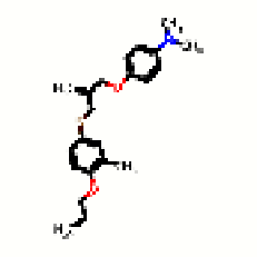 C=C(COc1ccc(N(C)C)cc1)CSc1ccc(OCCC)c(C)c1